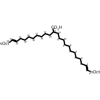 CCCCCCCCC=CCCCCCCCCCCC(CCCCCCCCC=CCCCCCCCC)C(=O)O